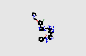 O=C(Nc1cncc(-c2cnc3[nH]nc(-c4nc5c(-c6cc(F)cc(OCCN7CCCC7)c6)nccc5[nH]4)c3c2)c1)C1CCCCC1